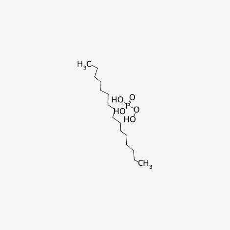 CCCCCCCCCCCCCCCC.O=P(O)(O)OO